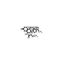 C=C[C@]1(O)CC[C@H]2[C@@H]3CCC4=C(CCC(=O)C4)[C@H]3CC[C@@]21C.CCCC(=O)O